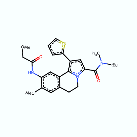 COCC(=O)Nc1cc2c(cc1OC)CCn1c(C(=O)N(C)C(C)(C)C)cc(-c3cccs3)c1-2